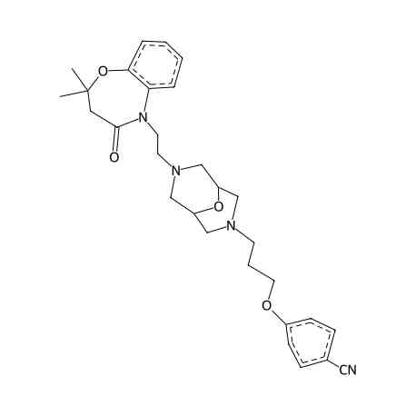 CC1(C)CC(=O)N(CCN2CC3CN(CCCOc4ccc(C#N)cc4)CC(C2)O3)c2ccccc2O1